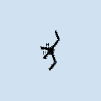 CCCCCCCC/C=C\CCCCCCCCOC(=O)C(OC(=S)NCCCCN(C)C)C(OC(=S)NCCCCN(C)C)C(=O)OCCCCCCCC/C=C\CCCCCCCC